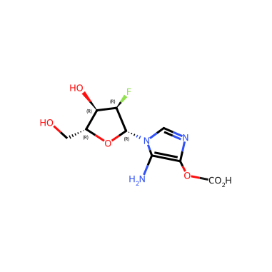 Nc1c(OC(=O)O)ncn1[C@@H]1O[C@H](CO)[C@@H](O)[C@H]1F